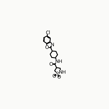 O=C(NC1CCC(c2nc3cc(Cl)ccc3o2)CC1)C1CNS(=O)(=O)C1